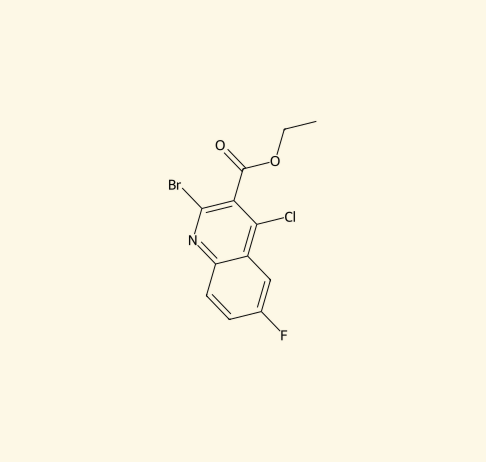 CCOC(=O)c1c(Br)nc2ccc(F)cc2c1Cl